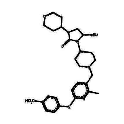 CCCCC1CN(C2CCOCC2)C(=O)N1C1CCN(Cc2ccc(Sc3ccc(C(=O)O)cc3)nc2C)CC1